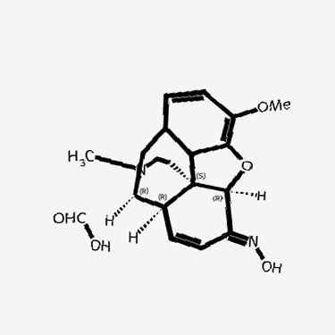 COC1=C2O[C@H]3C(=NO)C=C[C@H]4[C@H]5CC(C=C1)C2[C@@]34CCN5C.O=CO